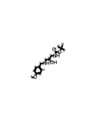 COc1ccc(CNC[C@@H](O)CNC(=O)OC(C)(C)C)cc1